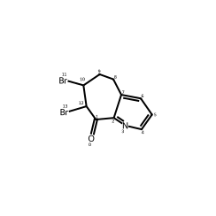 O=C1c2ncccc2CCC(Br)C1Br